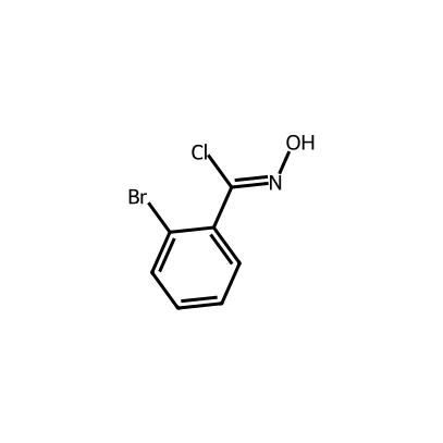 O/N=C(\Cl)c1ccccc1Br